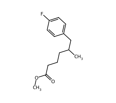 COC(=O)CCCC(C)Cc1ccc(F)cc1